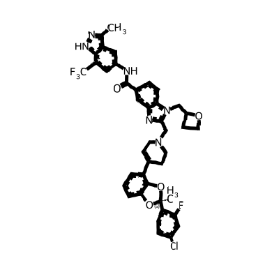 Cc1n[nH]c2c(C(F)(F)F)cc(NC(=O)c3ccc4c(c3)nc(CN3CC=C(c5cccc6c5O[C@@](C)(c5ccc(Cl)cc5F)O6)CC3)n4CC3CCO3)cc12